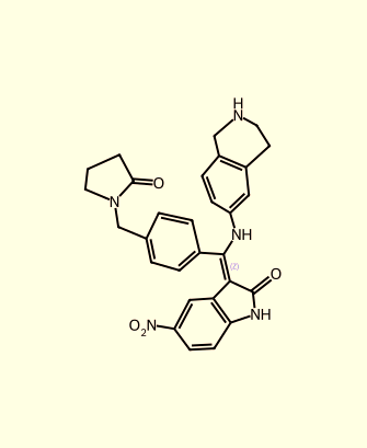 O=C1Nc2ccc([N+](=O)[O-])cc2/C1=C(/Nc1ccc2c(c1)CCNC2)c1ccc(CN2CCCC2=O)cc1